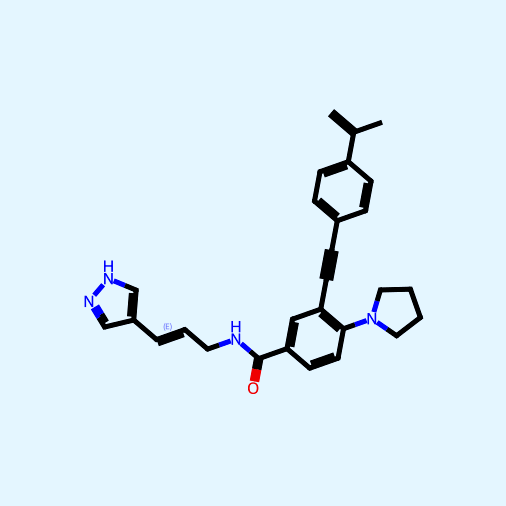 C=C(C)c1ccc(C#Cc2cc(C(=O)NC/C=C/c3cn[nH]c3)ccc2N2CCCC2)cc1